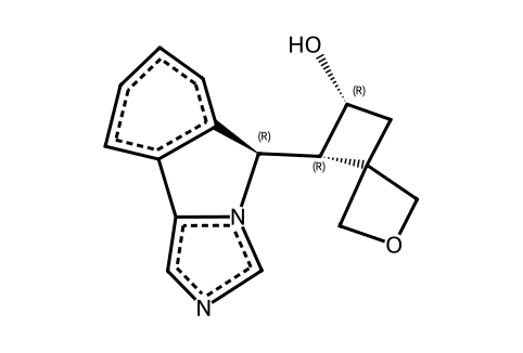 O[C@@H]1CC2(COC2)[C@@H]1[C@@H]1c2ccccc2-c2cncn21